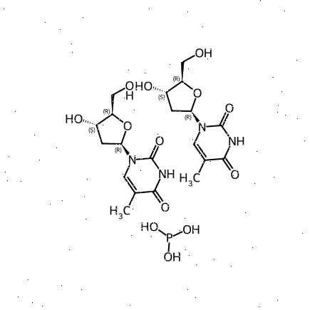 Cc1cn([C@H]2C[C@H](O)[C@@H](CO)O2)c(=O)[nH]c1=O.Cc1cn([C@H]2C[C@H](O)[C@@H](CO)O2)c(=O)[nH]c1=O.OP(O)O